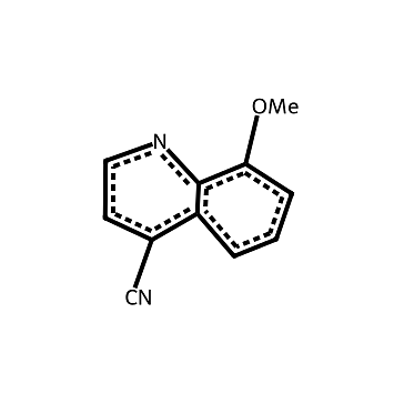 COc1cccc2c(C#N)ccnc12